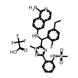 CCc1ccc(F)c(C(Nc2ccc3c(N)nccc3c2)c2nc(-c3ccccc3NS(C)(=O)=O)nn2C)c1.O=C(O)C(F)(F)F